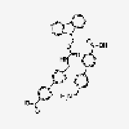 NCc1ccc(-c2ccc(C(=O)O)cc2)cc1.O=C(NCc1ccc(-c2ccc(C(=O)O)cc2)cc1)OCC1c2ccccc2-c2ccccc21